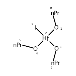 CCC[O][Hf]([I])([O]CCC)[O]CCC